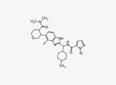 CCn1nccc1C(=O)NC(c1nc2c(F)c(C3COCCC3C(=O)N(C)C)ccc2[nH]1)C1CCC(C)CC1